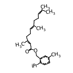 CC(C)=CCC/C(C)=C/CC/C(C)=C/C(=O)OCc1cc(C)ccc1C(C)C